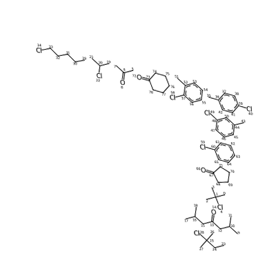 CC(C)(C)Cl.CC(C)=O.CC(C)CC(=O)CC(C)C.CC(C)Cl.CCC(C)(C)Cl.CCCCCCl.Cc1ccc(Cl)cc1.Cc1cccc(Cl)c1.Cc1ccccc1Cl.Clc1ccccc1.O=C1CCCC1.O=C1CCCCC1